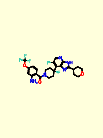 Nc1cc(OC(F)(F)F)ccc1C(=O)N1CCC(F)(c2c(F)cnc3[nH]c(C4CCOCC4)nc23)CC1